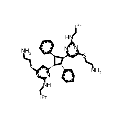 CC(C)CNc1nc(SCCN)cc([C@H]2[C@H](c3ccccc3)[C@H](c3cc(SCCN)nc(NCC(C)C)n3)[C@H]2c2ccccc2)n1